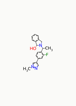 CC(c1ccc(-c2cnn(C)c2)cc1F)N1Cc2ccccc2C1O